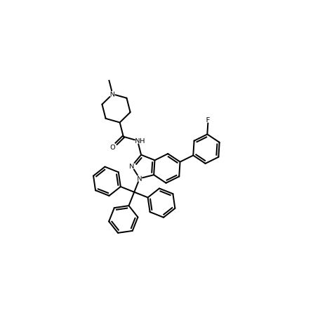 CN1CCC(C(=O)Nc2nn(C(c3ccccc3)(c3ccccc3)c3ccccc3)c3ccc(-c4cccc(F)c4)cc23)CC1